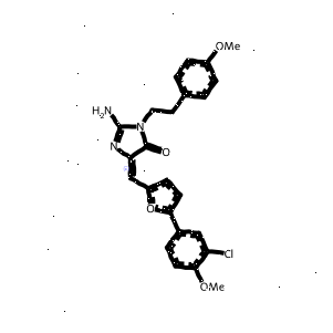 COc1ccc(CCN2C(=O)/C(=C\c3ccc(-c4ccc(OC)c(Cl)c4)o3)N=C2N)cc1